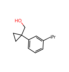 CC(C)c1cccc(C2(CO)CC2)c1